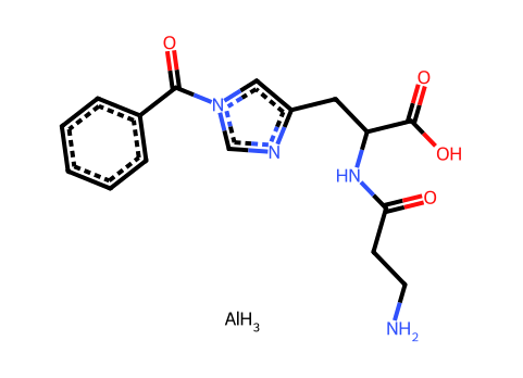 NCCC(=O)NC(Cc1cn(C(=O)c2ccccc2)cn1)C(=O)O.[AlH3]